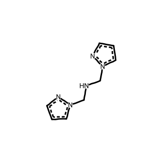 c1cnn(CNCn2cccn2)c1